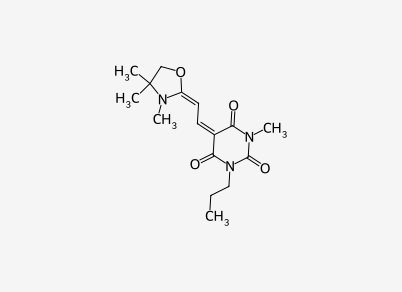 CCCN1C(=O)/C(=C/C=C2/OCC(C)(C)N2C)C(=O)N(C)C1=O